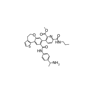 CCCNC(=O)c1ccc(-c2cc3c(cc2C(=O)Nc2ccc(C(C)N)cc2)-c2sccc2CCO3)c(C(=O)OC)n1